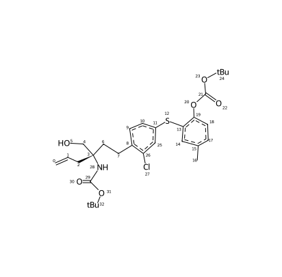 C=CC[C@@](CO)(CCc1ccc(Sc2cc(C)ccc2OC(=O)OC(C)(C)C)cc1Cl)NC(=O)OC(C)(C)C